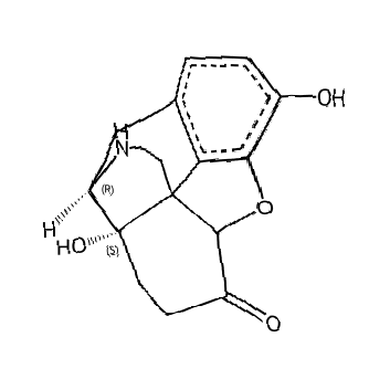 O=C1CC[C@@]2(O)[C@H]3Cc4ccc(O)c5c4C2(CCN3)C1O5